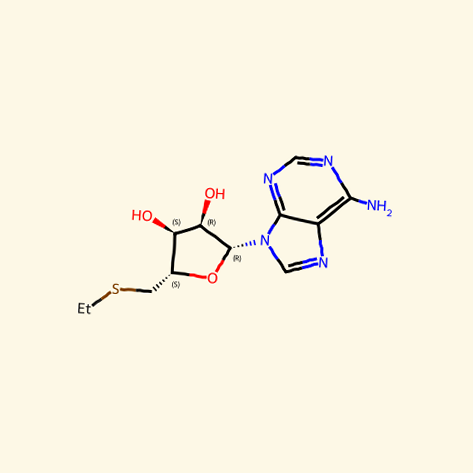 CCSC[C@H]1O[C@@H](n2cnc3c(N)ncnc32)[C@H](O)[C@@H]1O